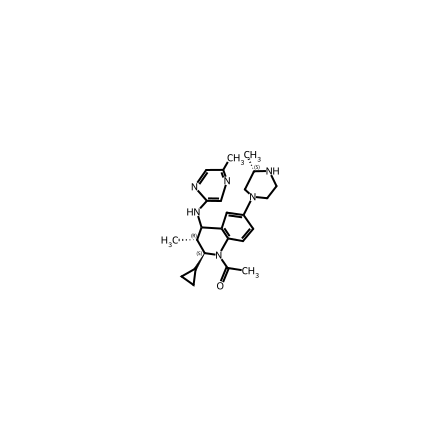 CC(=O)N1c2ccc(N3CCN[C@@H](C)C3)cc2C(Nc2cnc(C)cn2)[C@@H](C)[C@@H]1C1CC1